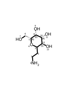 NCC[C]1O[C@H](CO)[C@H](O)[C@H](O)[C@H]1O